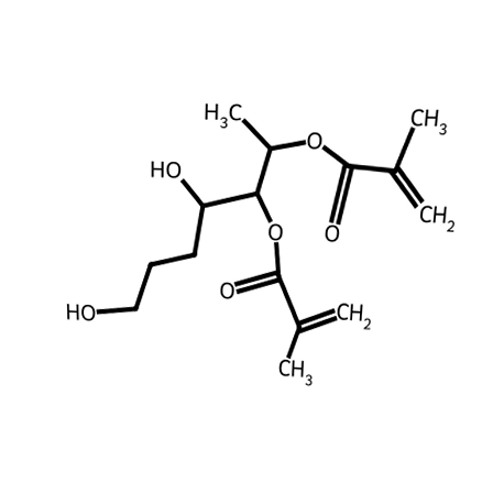 C=C(C)C(=O)OC(C)C(OC(=O)C(=C)C)C(O)CCCO